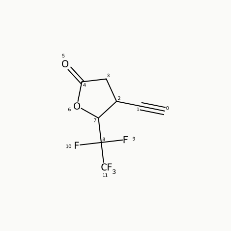 C#CC1CC(=O)OC1C(F)(F)C(F)(F)F